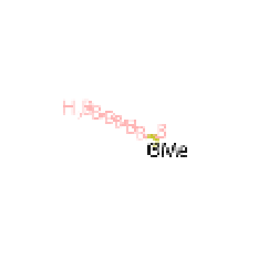 B#S(=BB=BB=BB)OC